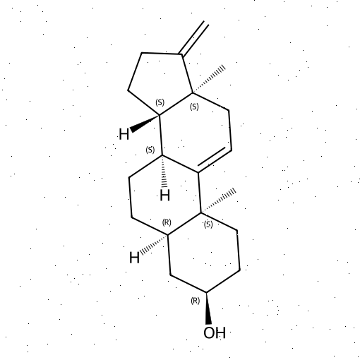 C=C1CC[C@H]2[C@@H]3CC[C@@H]4C[C@H](O)CC[C@]4(C)C3=CC[C@]12C